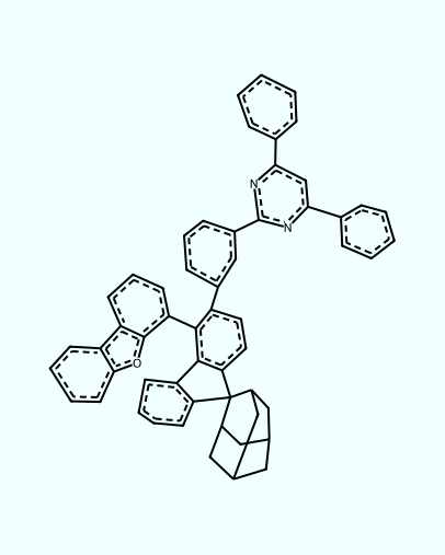 c1ccc(-c2cc(-c3ccccc3)nc(-c3cccc(-c4ccc5c(c4-c4cccc6c4oc4ccccc46)-c4ccccc4C54C5CC6CC(C5)CC4C6)c3)n2)cc1